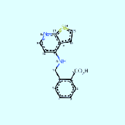 O=C(O)c1ccccc1CNc1ccnc2sccc12